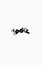 C=C/C=C(/N=N/c1ccc(-c2ccc(NC(=O)I)c(C)c2)cc1C)C(=C)O